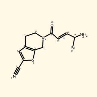 N#Cc1cc2c(s1)CN(C(=O)/C=C/C(N)Br)CC2